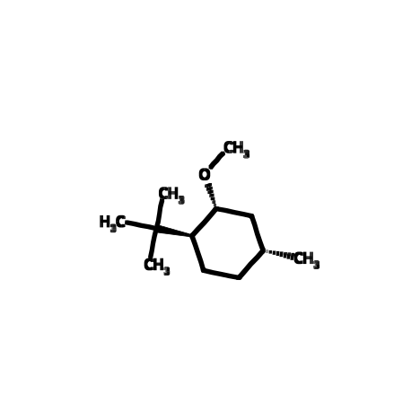 CO[C@@H]1C[C@H](C)CC[C@H]1C(C)(C)C